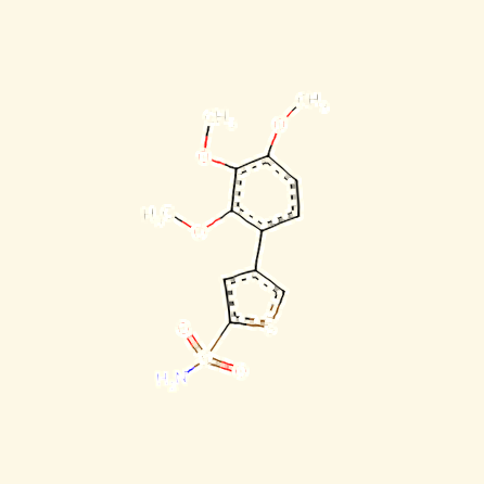 COc1ccc(-c2csc(S(N)(=O)=O)c2)c(OC)c1OC